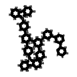 c1ccc(-c2cccc(-c3cccc(-c4cc(-c5ccccc5)cc(-c5cc(-c6ccc(-n7c8ccccc8c8ccccc87)cc6)ccc5-c5ccc(-n6c7ccccc7c7ccccc76)cc5)c4)c3)c2)cc1